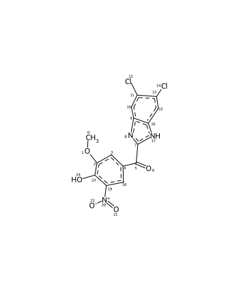 COc1cc(C(=O)c2nc3cc(Cl)c(Cl)cc3[nH]2)cc([N+](=O)[O-])c1O